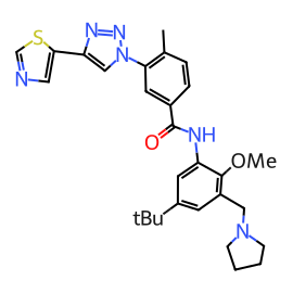 COc1c(CN2CCCC2)cc(C(C)(C)C)cc1NC(=O)c1ccc(C)c(-n2cc(-c3cncs3)nn2)c1